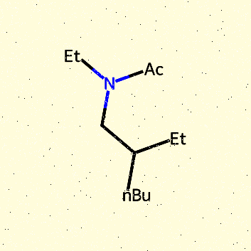 CCCCC(CC)CN(CC)C(C)=O